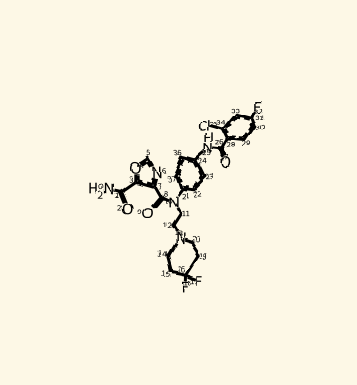 NC(=O)c1ocnc1C(=O)N(CCN1CCC(F)(F)CC1)c1ccc(NC(=O)c2ccc(F)cc2Cl)cc1